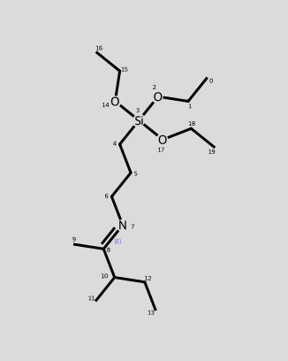 CCO[Si](CCC/N=C(\C)C(C)CC)(OCC)OCC